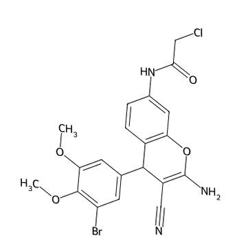 COc1cc(C2C(C#N)=C(N)Oc3cc(NC(=O)CCl)ccc32)cc(Br)c1OC